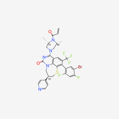 C=CC(=O)N1[C@H](C)CN(c2nc(=O)n3c4c(c(-c5cc(Br)c(F)cc5F)c(C(F)(F)F)cc24)SC[C@@H](c2ccncc2)C3)C[C@@H]1C